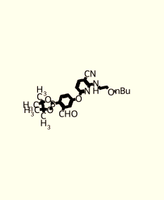 CCCCOCCNc1nc(Oc2ccc(B3OC(C)(C)C(C)(C)O3)c(C=O)c2)ccc1C#N